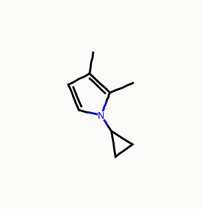 Cc1ccn(C2CC2)c1C